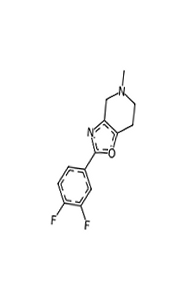 CN1CCc2oc(-c3ccc(F)c(F)c3)nc2C1